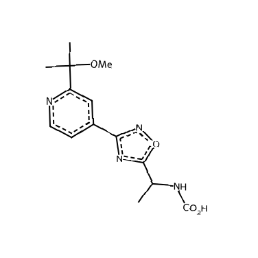 COC(C)(C)c1cc(-c2noc(C(C)NC(=O)O)n2)ccn1